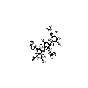 CCS[C@@H]1OC(COC(C)=O)[C@@H](O[C@H]2OC(COC(C)=O)[C@@H](O[C@H]3OC(COC(C)=O)[C@@H](C)[C@H](C)C3C)[C@H](C)C2C)[C@H](C)C1OC(C)=O